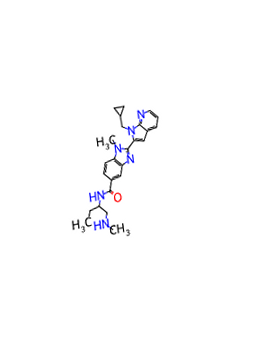 CCC(CNC)NC(=O)c1ccc2c(c1)nc(-c1cc3cccnc3n1CC1CC1)n2C